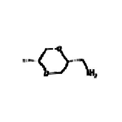 C[C@@H]1CO[C@H](CN)CO1